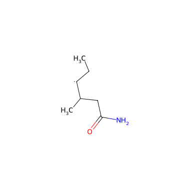 CC[CH]C(C)CC(N)=O